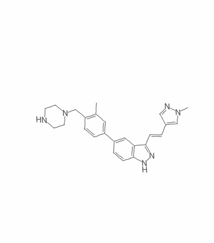 Cc1cc(-c2ccc3[nH]nc(/C=C/c4cnn(C)c4)c3c2)ccc1CN1CCNCC1